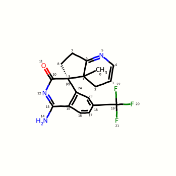 CC12CC=CN=C1CC[C@]21C(=O)N=C(N)c2ccc(C(F)(F)F)cc21